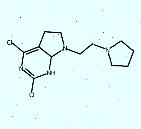 ClC1=NC(Cl)=C2CCN(CCN3CCCC3)C2N1